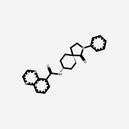 O=C(N[C@H]1CC[C@@]2(CCN(c3ccccc3)C2=O)CC1)c1cccc2nccnc12